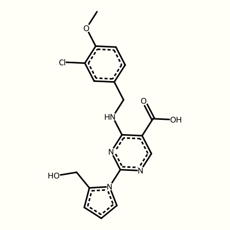 COc1ccc(CNc2nc(-n3cccc3CO)ncc2C(=O)O)cc1Cl